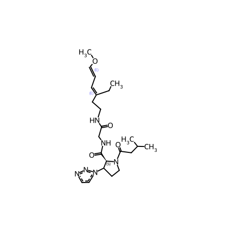 CC/C(=C\C=C\OC)CCNC(=O)CNC(=O)[C@@H]1C(n2ccnn2)CCN1C(=O)CC(C)C